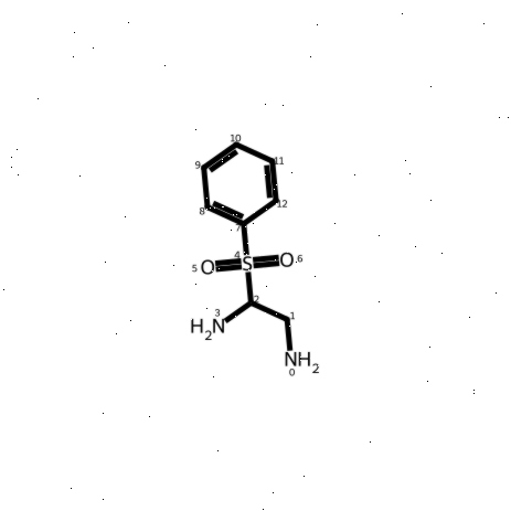 NCC(N)S(=O)(=O)c1ccccc1